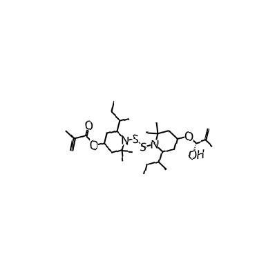 C=C(C)C(=O)OC1CC(C(C)CC)N(SSN2C(C(C)CC)CC(O[C@@H](O)C(=C)C)CC2(C)C)C(C)(C)C1